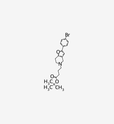 CC(C)(C)OC(=O)CCCN1CCc2oc(-c3ccc(Br)cc3)cc2C1